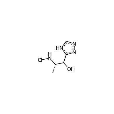 C[C@H](NCl)C(O)c1nnc[nH]1